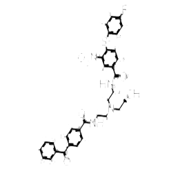 C#CCN(CCNC(=O)c1ccc(C(=O)c2ccccc2)cc1)CCNC(=O)c1ccc(Sc2ccc(F)cc2)c([N+](=O)[O-])c1